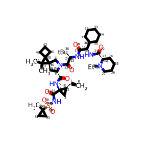 C=C[C@@H]1C[C@]1(NC(=O)[C@@H]1C[C@@]2(CN1C(=O)[C@@H](NC(=O)[C@@H](NC(=O)[C@@H]1CCCCN1CC)C1CCCCC1)C(C)(C)C)C(C)(C)C21CCC1)C(=O)NS(=O)(=O)C1(C)CC1